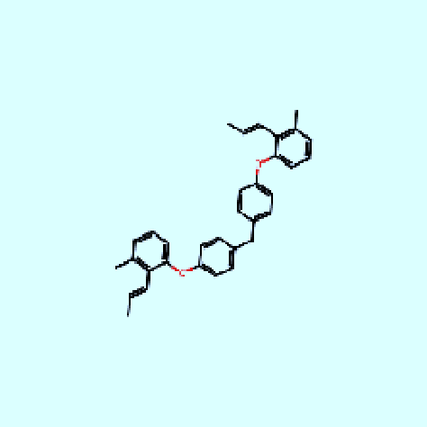 CC=Cc1c(C)cccc1Oc1ccc(Cc2ccc(Oc3cccc(C)c3C=CC)cc2)cc1